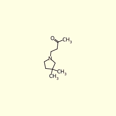 CC(=O)CCN1CCC(C)(C)C1